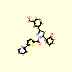 O=C(c1ccc(-c2ccccn2)s1)N1N=C(c2cncc(CO)c2)CC1c1ccccc1O